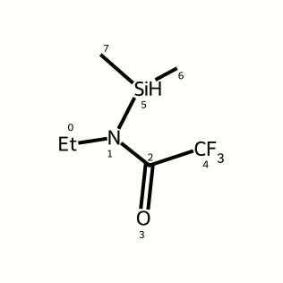 CCN(C(=O)C(F)(F)F)[SiH](C)C